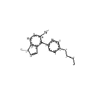 CCCCc1ccc(-c2c(Br)ccc3c2C=CC3C)cc1